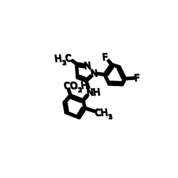 Cc1cc(Nc2c(C)cccc2C(=O)O)n(-c2ccc(F)cc2F)n1